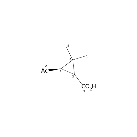 CC(=O)[C@@H]1C(C(=O)O)C1(C)C